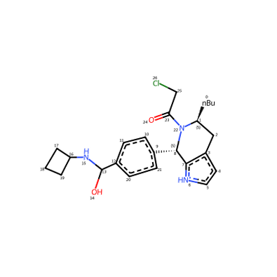 CCCC[C@H]1Cc2cc[nH]c2[C@H](c2ccc(C(O)NC3CCC3)cc2)N1C(=O)CCl